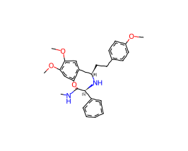 CNC(=O)[C@@H](N[C@H](CCc1ccc(OC)cc1)c1ccc(OC)c(OC)c1)c1ccccc1